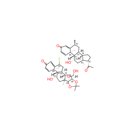 CC(=O)[C@H]1CC[C@H]2[C@@H]3C[C@H](C)C4=CC(=O)C=C[C@]4(C)[C@H]3[C@@H](O)C[C@]12C.CC1(C)O[C@@H]2C[C@H]3[C@@H]4C[C@H](F)C5=CC(=O)C=C[C@]5(C)[C@H]4[C@@H](O)C[C@]3(C)[C@]2(C(=O)CO)O1